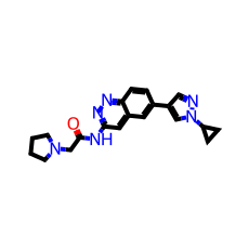 O=C(CN1CCCC1)Nc1cc2cc(-c3cnn(C4CC4)c3)ccc2nn1